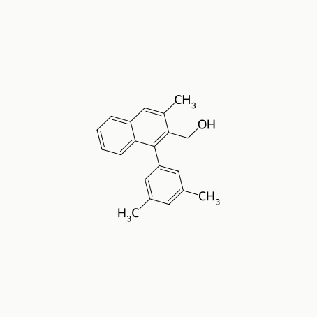 Cc1cc(C)cc(-c2c(CO)c(C)cc3ccccc23)c1